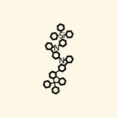 c1ccc(C2(c3ccccc3)c3ccccc3-c3c(-c4ccc5c6ccccc6n(-c6ccc7c8ccccc8n(-c8cccc([Si](c9ccccc9)(c9ccccc9)c9ccccc9)c8)c7c6)c5c4)cccc32)cc1